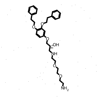 NCCOCCOCCNC[C@@H](O)COc1ccc(OCCc2ccccc2)c(OCCc2ccccc2)c1